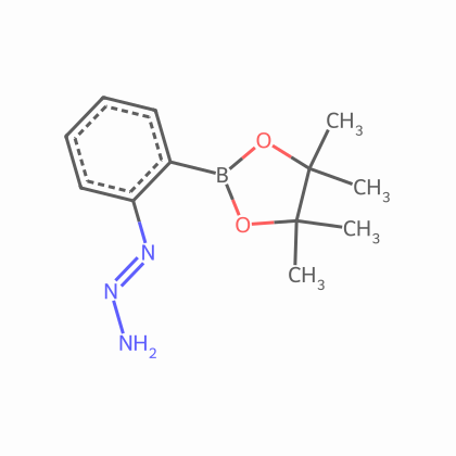 CC1(C)OB(c2ccccc2N=NN)OC1(C)C